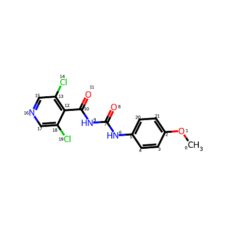 COc1ccc(NC(=O)NC(=O)c2c(Cl)cncc2Cl)cc1